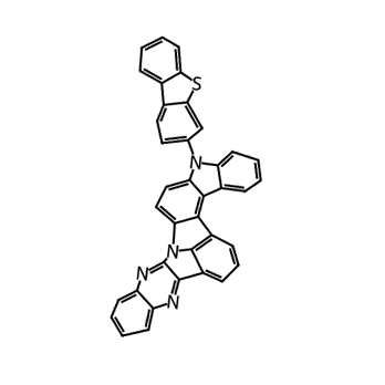 c1ccc2nc3c(nc2c1)c1cccc2c4c5c6ccccc6n(-c6ccc7c(c6)sc6ccccc67)c5ccc4n3c12